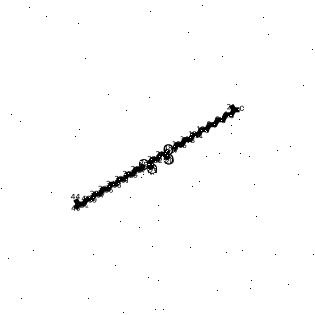 CC(C)CCCCCCCCCCCCCCCOC(=O)CCCC(=O)OCCCCCCCCCCCCCCCC(C)C